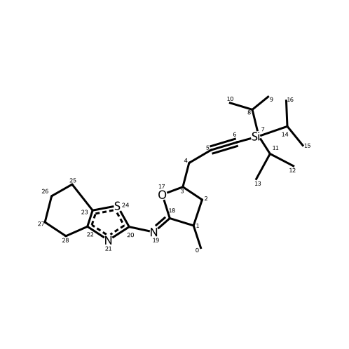 CC1CC(CC#C[Si](C(C)C)(C(C)C)C(C)C)O/C1=N\c1nc2c(s1)CCCC2